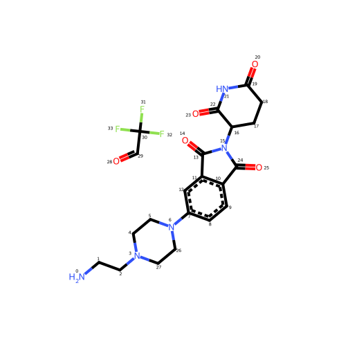 NCCN1CCN(c2ccc3c(c2)C(=O)N(C2CCC(=O)NC2=O)C3=O)CC1.O=CC(F)(F)F